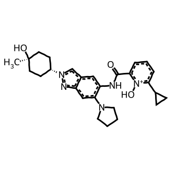 C[C@]1(O)CC[C@H](n2cc3cc(NC(=O)c4cccc(C5CC5)[n+]4O)c(N4CCCC4)cc3n2)CC1